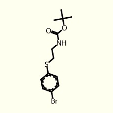 CC(C)(C)OC(=O)NCCSc1ccc(Br)cc1